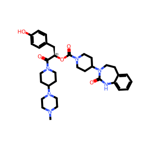 CN1CCN(C2CCN(C(=O)[C@@H](Cc3ccc(O)cc3)OC(=O)N3CCC(N4CCc5ccccc5NC4=O)CC3)CC2)CC1